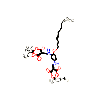 CCCCCCCCCCCCCCCCCCOc1ccc(NC=C2C(=O)OC(C)(C)OC2=O)cc1NC=C1C(=O)OC(C)(C)OC1=O